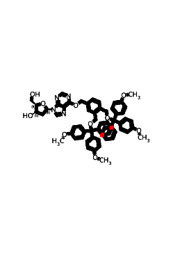 COc1ccc(C(OCc2ccc(COc3ncnc4c3ncn4[C@H]3C[C@H](O)[C@@H](CO)O3)cc2COC(c2ccccc2)(c2ccc(OC)cc2)c2ccc(OC)cc2)(c2ccccc2)c2ccc(OC)cc2)cc1